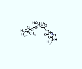 CNC(=O)/C(F)=C\N(C=O)CCC(COP(O)OCOC(=O)C(C)(C)C)OC